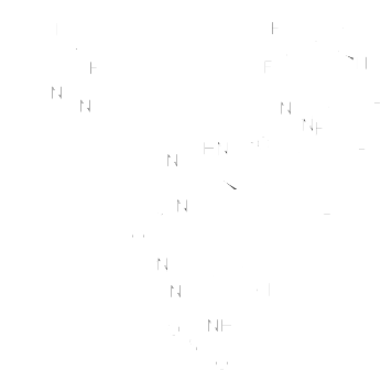 Cc1cc(-c2ccc3c(=O)n(-c4ccc(Cl)c5c(NS(C)(=O)=O)nn(C)c45)c([C@H](Cc4cc(F)cc(F)c4)NC(=O)Cn4nc(C(F)F)c5c4C(F)(F)C4C[C@H]54)nc3c2)nn1CC(C)(F)F